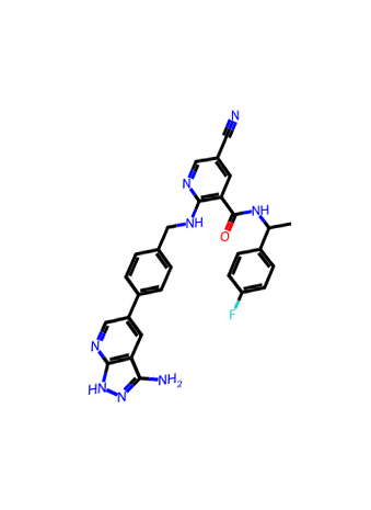 CC(NC(=O)c1cc(C#N)cnc1NCc1ccc(-c2cnc3[nH]nc(N)c3c2)cc1)c1ccc(F)cc1